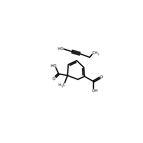 CC1(C(=O)O)C=CC=C(C(=O)O)C1.CCC#CO